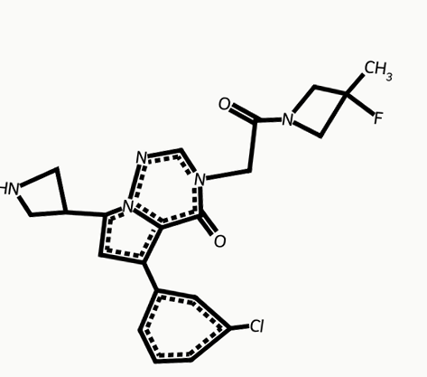 CC1(F)CN(C(=O)Cn2cnn3c(C4CNC4)cc(-c4cccc(Cl)c4)c3c2=O)C1